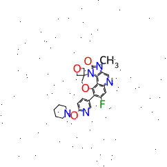 Cn1c(=O)n2c3c4c(c(-c5ccc(ON6CCCCC6)nc5)c(F)cc4ncc31)OCC21COC1